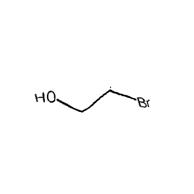 OC[CH]Br